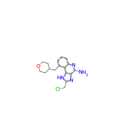 Nc1nc2cccc(CC3CCOCC3)c2c2[nH]c(CCl)nc12